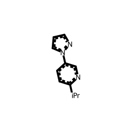 CC(C)c1ccc(-n2cccn2)cn1